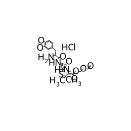 CC1(C)S[C@@H]2[C@H](NC(=O)C(N)Cc3ccc4c(c3)OCO4)C(=O)N2[C@H]1C(=O)OCOC=O.Cl